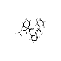 CC(C)CCC1(C(=O)Nc2ccccc2SC(=O)c2cccnc2)CCCCC1